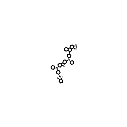 c1ccc(N(c2ccc(-c3nc4ccccc4o3)cc2)c2ccc3c(c2)sc2cc(N(c4ccccc4)c4ccc(-c5cc6c7c(ccc6c6ccccc56)=NCN=7)cc4)ccc23)cc1